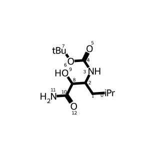 CC(C)CC(NC(=O)OC(C)(C)C)C(O)C(N)=O